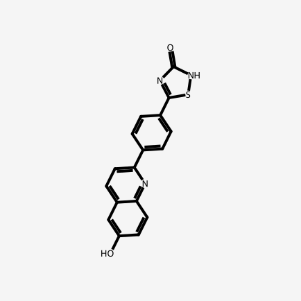 O=c1nc(-c2ccc(-c3ccc4cc(O)ccc4n3)cc2)s[nH]1